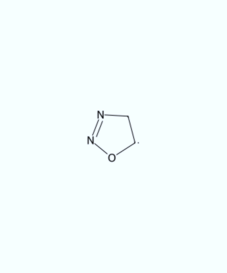 [CH]1CN=NO1